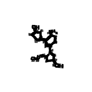 Nc1ccc(N2CC(O)CC2NC=O)nc1N1CCC(O)C1